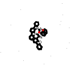 c1ccc2nc(-n3c4ccccc4c4ccc5c6ccccc6n(-c6nc7ccccc7nc6-c6cccc7c6oc6ccccc67)c5c43)cnc2c1